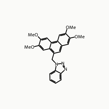 COc1cc2cc(Cn3nnc4ccccc43)c3cc(OC)c(OC)cc3c2cc1OC